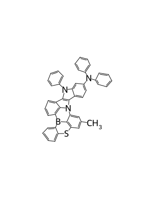 Cc1cc2c3c(c1)-n1c4c(cccc4c4c1c1ccc(N(c5ccccc5)c5ccccc5)cc1n4-c1ccccc1)B3c1ccccc1S2